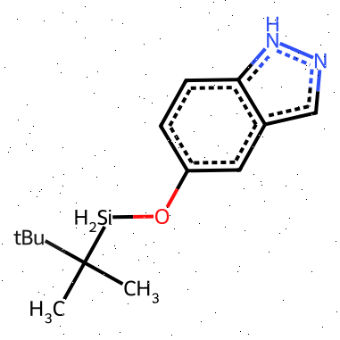 CC(C)(C)C(C)(C)[SiH2]Oc1ccc2[nH]ncc2c1